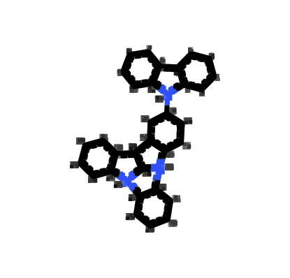 c1ccc2c(c1)c1ccccc1n2-c1ccc2c(c1)c1c3ccccc3n3c4ccccc4n2c13